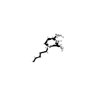 CCCCCn1ccc(N)nc1=O